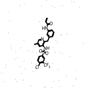 C=CC(=O)Nc1cccc(Cc2ncc(C)cc2NS(=O)(=O)c2ccc(Cl)c(C(F)(F)F)c2)c1